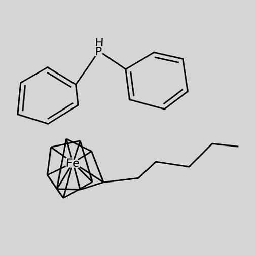 CCCCC[C]12[CH]3[CH]4[CH]5[CH]1[Fe]45321678[CH]2[CH]1[CH]6[CH]7[CH]28.c1ccc(Pc2ccccc2)cc1